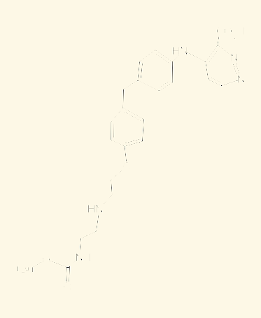 CC(C)(C)OC(=O)NCCNCCOc1ccc(Cc2ccc(Nc3ccnnc3C(=O)O)cc2)cc1